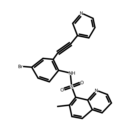 Cc1ccc2cccnc2c1S(=O)(=O)Nc1ccc(Br)cc1C#Cc1cccnc1